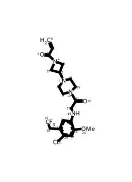 C=CC(=O)N1CC(N2CCN(C(=O)CNc3cc(CC(F)(F)F)c(Cl)cc3OC)CC2)C1